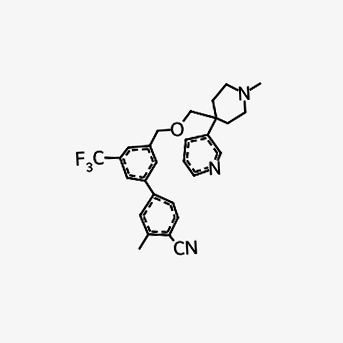 Cc1cc(-c2cc(COCC3(c4cccnc4)CCN(C)CC3)cc(C(F)(F)F)c2)ccc1C#N